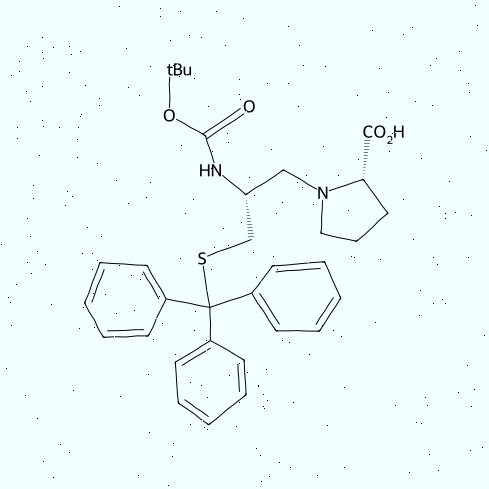 CC(C)(C)OC(=O)N[C@@H](CSC(c1ccccc1)(c1ccccc1)c1ccccc1)CN1CCC[C@H]1C(=O)O